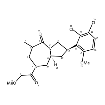 COCC(=O)N1CC(C)C(=O)N2C[C@@H](c3c(OC)ccc(Cl)c3Cl)C[C@H]2C1